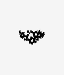 Cn1ccc(C(=O)Nc2ccc(F)c([C@@]3(CF)N=C(N)O[C@@H]4CC(F)(F)C[C@@H]43)c2)n1